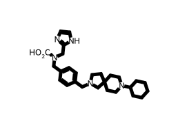 O=C(O)N(Cc1ccc(CN2CCC3(CCN(C4CCCCC4)CC3)C2)cc1)Cc1ncc[nH]1